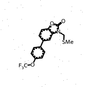 CSCn1c(=O)oc2ccc(-c3ccc(OC(F)(F)F)cc3)cc21